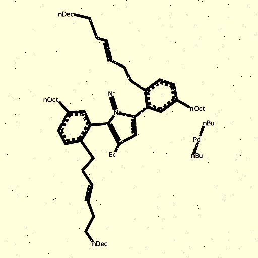 CCCCCCCCCCCCC=CCCc1ccc(CCCCCCCC)cc1C1=CC(CC)=C(c2cc(CCCCCCCC)ccc2CCC=CCCCCCCCCCCCC)[N+]1=[N-].CCC[CH2][Pd][CH2]CCC